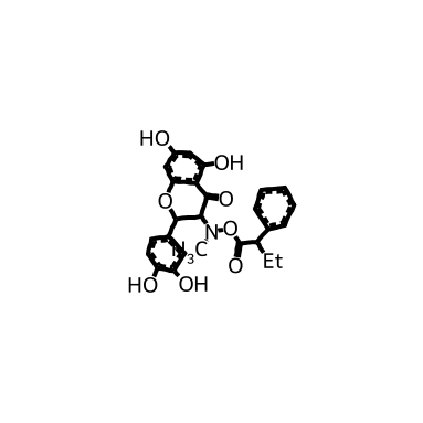 CCC(C(=O)ON(C)C1C(=O)c2c(O)cc(O)cc2OC1c1ccc(O)c(O)c1)c1ccccc1